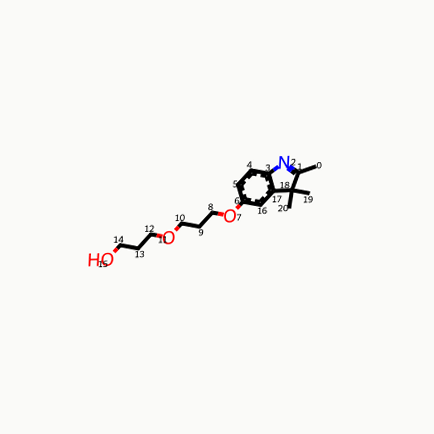 CC1=Nc2ccc(OCCCOCCCO)cc2C1(C)C